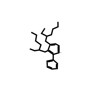 CCCCC(CC)Cc1cc[c]c(-c2ccccc2)c1CC(CC)CCCC